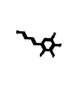 FC=CC=Cc1cc(F)c(F)c(F)c1F